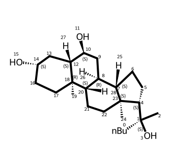 CCCC[C@](C)(O)[C@H]1CC[C@H]2[C@@H]3C[C@H](O)[C@H]4C[C@@H](O)CC[C@]4(C)[C@H]3CC[C@@]21C